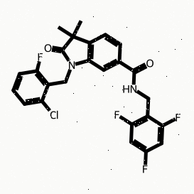 CC1(C)C(=O)N(Cc2c(F)cccc2Cl)c2cc(C(=O)NCc3c(F)cc(F)cc3F)ccc21